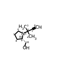 C#CC(C)(C)N1CCC[C@H]1CO